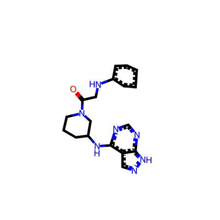 O=C(CNc1ccccc1)N1CCCC(Nc2ncnc3[nH]ncc23)C1